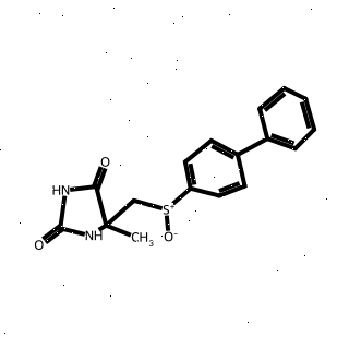 CC1(C[S+]([O-])c2ccc(-c3ccccc3)cc2)NC(=O)NC1=O